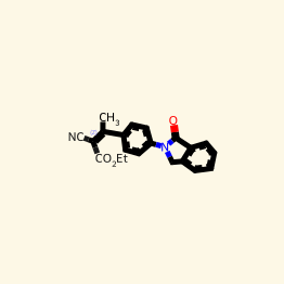 CCOC(=O)/C(C#N)=C(/C)c1ccc(N2Cc3ccccc3C2=O)cc1